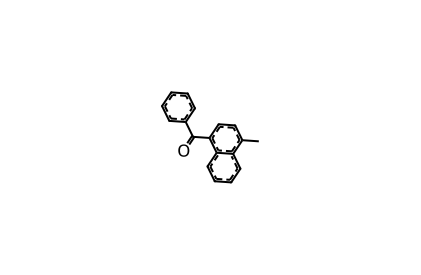 Cc1ccc(C(=O)c2ccccc2)c2ccccc12